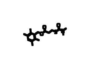 Cc1cc(C)c(C)c(COC(=O)CCSC(=O)N(C)C)c1C